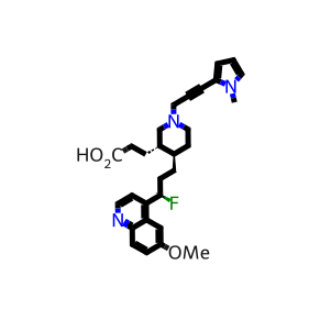 COc1ccc2nccc([C@H](F)CC[C@@H]3CCN(CC#Cc4cccn4C)C[C@H]3CCC(=O)O)c2c1